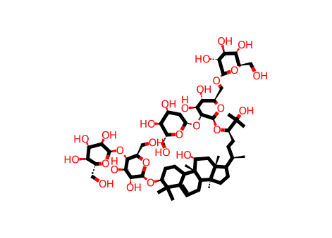 C[C@H](CC[C@@H](O[C@@H]1O[C@H](CO[C@H]2O[C@H](CO)[C@@H](O)[C@H](O)[C@H]2O)[C@@H](O)[C@H](O)[C@H]1O[C@H]1C[C@@H](O)[C@H](O)[C@@H](CO)O1)C(C)(C)O)C1CC[C@@]2(C)C3CC=C4C(CC[C@H](O[C@@H]5O[C@H](CO)[C@@H](O[C@H]6O[C@H](CO)[C@@H](O)[C@H](O)[C@H]6O)[C@H](O)[C@H]5O)C4(C)C)[C@]3(C)[C@H](O)C[C@]12C